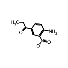 CCC(=O)c1ccc(N)c([N+](=O)[O-])c1